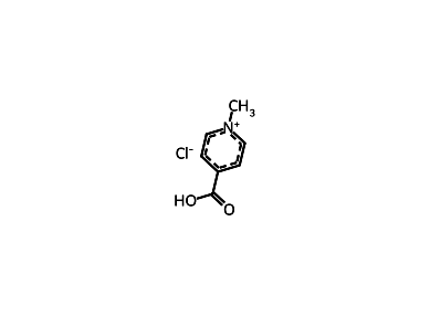 C[n+]1ccc(C(=O)O)cc1.[Cl-]